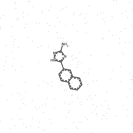 Nc1n[nH]c(-c2ccc3ccccc3c2)n1